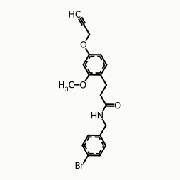 C#CCOc1ccc(CCC(=O)NCc2ccc(Br)cc2)c(OC)c1